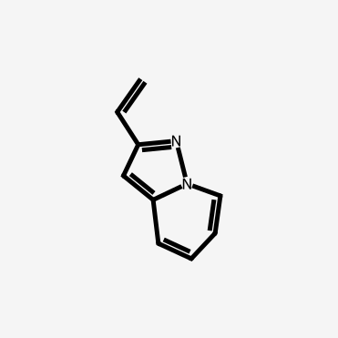 C=Cc1cc2ccccn2n1